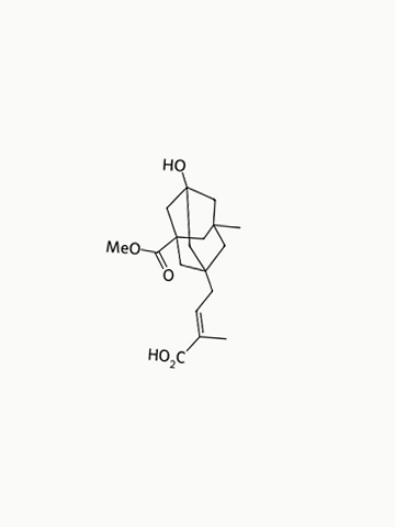 COC(=O)C12CC3(C)CC(O)(CC(CC=C(C)C(=O)O)(C3)C1)C2